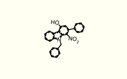 O=[N+]([O-])c1c(-c2ccccc2)cc(O)c2c3ccccc3n(Cc3ccccc3)c12